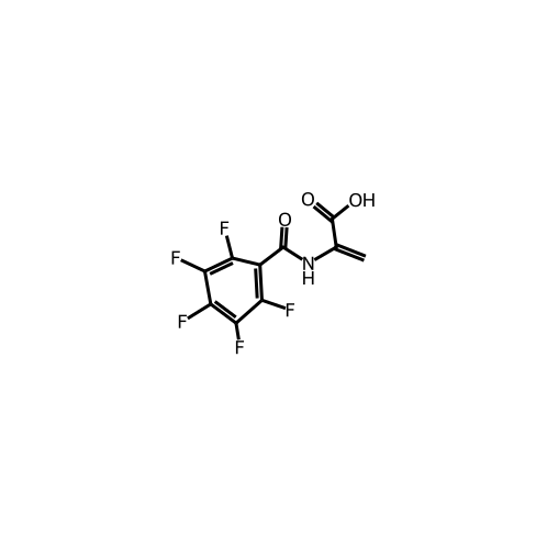 C=C(NC(=O)c1c(F)c(F)c(F)c(F)c1F)C(=O)O